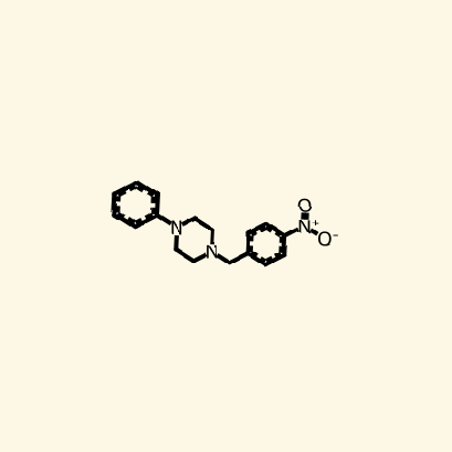 O=[N+]([O-])c1ccc(CN2CCN(c3ccccc3)CC2)cc1